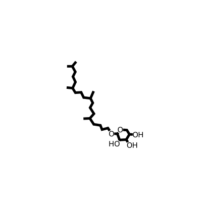 CC(C)CCCC(C)CCCC(C)CCCC(C)CCCCOC1OCC(O)C(O)C1O